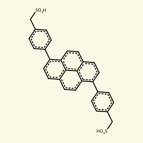 O=S(=O)(O)Cc1ccc(-c2ccc3ccc4c(-c5ccc(CS(=O)(=O)O)cc5)ccc5ccc2c3c54)cc1